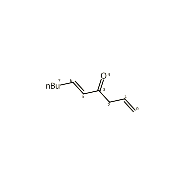 C=CCC(=O)C=CCCCC